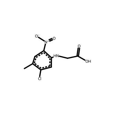 Cc1cc([N+](=O)[O-])c(NCC(=O)O)cc1Cl